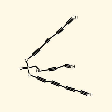 C#CC#CC#CC#COP(=O)(CNC#CC#C)OC#CC#CC#CC#C